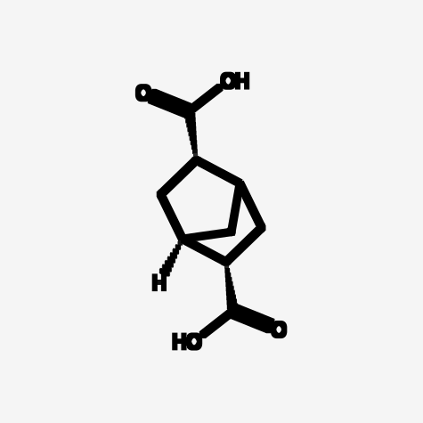 O=C(O)[C@H]1C[C@H]2CC1C[C@@H]2C(=O)O